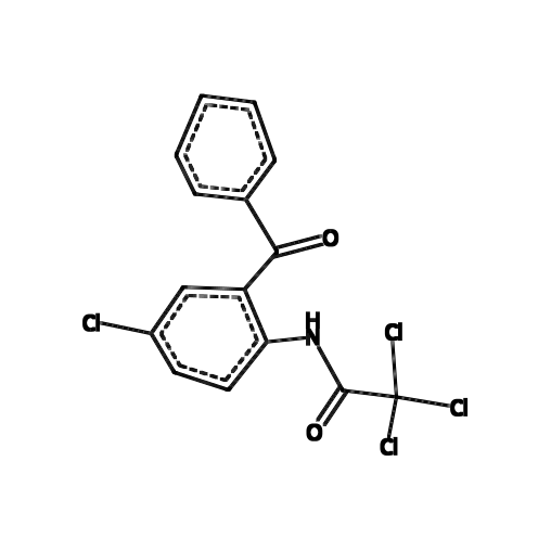 O=C(c1ccccc1)c1cc(Cl)ccc1NC(=O)C(Cl)(Cl)Cl